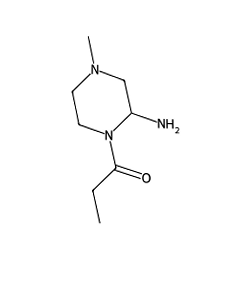 CCC(=O)N1CCN(C)CC1N